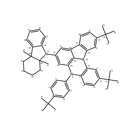 CC(C)(C)c1ccc(N2c3ccc(C(C)(C)C)cc3B3c4cc(C(C)(C)C)ccc4-c4cc(N5c6ccccc6C6(C)CCCCC56C)cc2c43)cc1